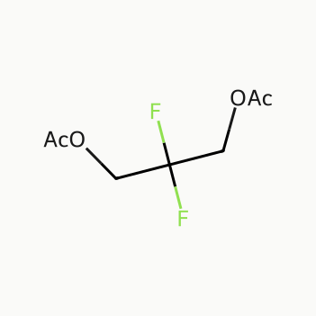 CC(=O)OCC(F)(F)COC(C)=O